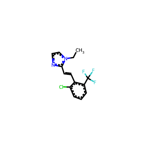 CCn1ccnc1C=Cc1c(Cl)cccc1C(F)(F)F